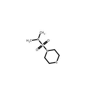 CN(C)S(=O)(=O)N1CCSCC1